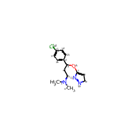 CN(C)CCC(OC1=CCN=N1)c1ccc(Cl)cc1